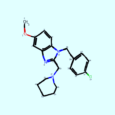 COc1ccc2c(c1)nc(CN1CCCCC1)n2Cc1ccc(Cl)cc1